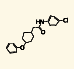 O=C(CC1CCC(Oc2ccccc2)CC1)Nc1ccc(Cl)cc1